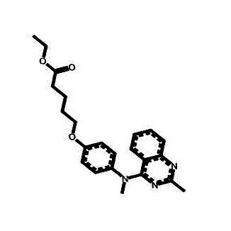 CCOC(=O)CCCCOc1ccc(N(C)c2nc(C)nc3ccccc23)cc1